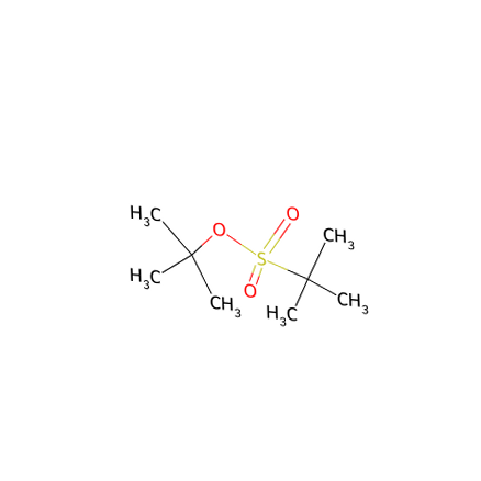 CC(C)(C)OS(=O)(=O)C(C)(C)C